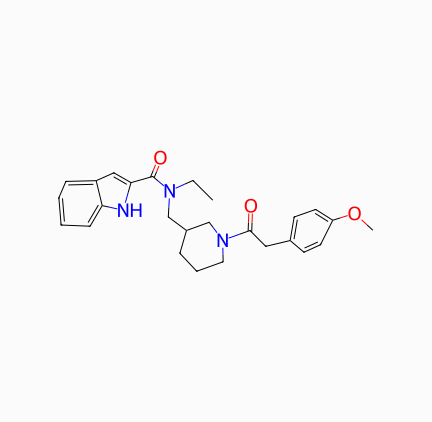 CCN(CC1CCCN(C(=O)Cc2ccc(OC)cc2)C1)C(=O)c1cc2ccccc2[nH]1